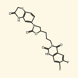 O=C1CSc2ccc(N3CC(CCCn4c(=O)[nH]c5cc(F)c(F)cc5c4=O)OC3=O)cc2N1